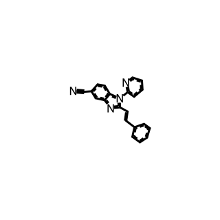 N#Cc1ccc2c(c1)nc(C=Cc1ccccc1)n2-c1ccccn1